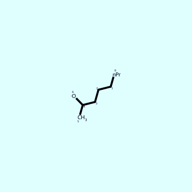 CCCCCCC(C)[O]